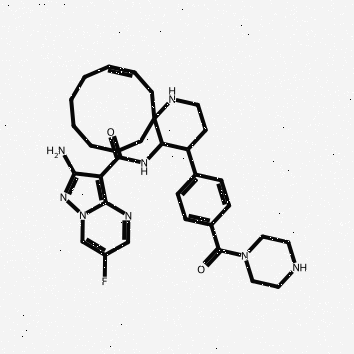 Nc1nn2cc(F)cnc2c1C(=O)NC1C(c2ccc(C(=O)N3CCNCC3)cc2)CCNC12C/C=C\CCCCCC2